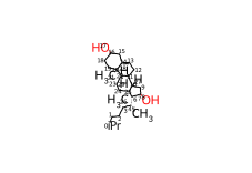 CC(C)CCC[C@@H](C)[C@H]1[C@H](O)C[C@H]2[C@@H]3CC=C4C[C@H](O)CC[C@]4(C)[C@H]3CC[C@]12C